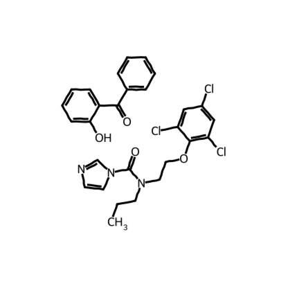 CCCN(CCOc1c(Cl)cc(Cl)cc1Cl)C(=O)n1ccnc1.O=C(c1ccccc1)c1ccccc1O